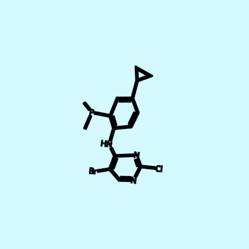 CP(C)c1cc(C2CC2)ccc1Nc1nc(Cl)ncc1Br